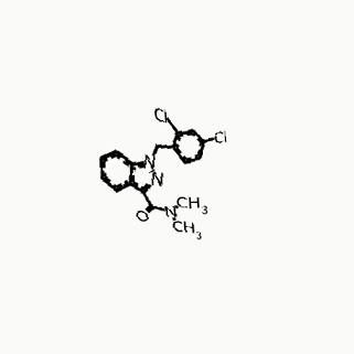 CN(C)C(=O)c1nn(Cc2ccc(Cl)cc2Cl)c2ccccc12